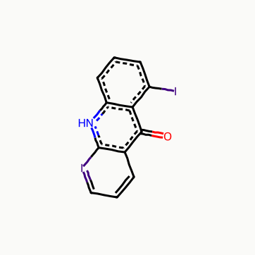 O=c1c2c([nH]c3cccc(I)c13)I=CC=C2